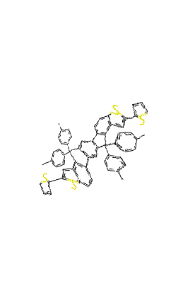 Cc1ccc(C2(c3ccc(C)cc3)c3cc4c(cc3-c3ccc5sc(-c6cccs6)cc5c32)C(c2ccc(C)cc2)(c2ccc(C)cc2)c2c-4ccc3sc(-c4cccs4)cc23)cc1